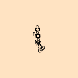 CS(=O)(=O)OCc1cn(-c2ccc(N3CCOCC3)c(F)c2)nn1